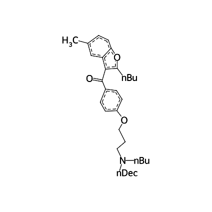 CCCCCCCCCCN(CCCC)CCCOc1ccc(C(=O)c2c(CCCC)oc3ccc(C)cc23)cc1